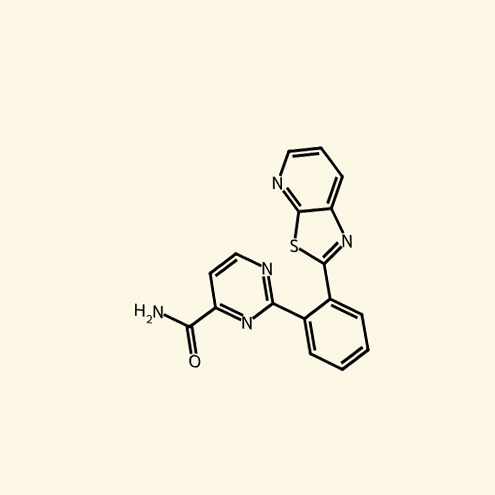 NC(=O)c1ccnc(-c2ccccc2-c2nc3cccnc3s2)n1